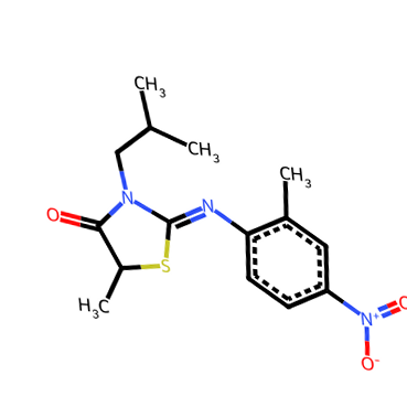 Cc1cc([N+](=O)[O-])ccc1N=C1SC(C)C(=O)N1CC(C)C